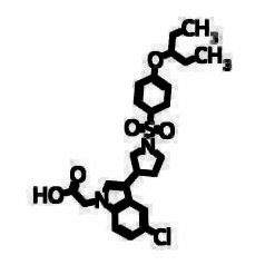 CCC(CC)OC1=CCC(S(=O)(=O)N2CCC(c3cn(CC(=O)O)c4ccc(Cl)cc34)C2)C=C1